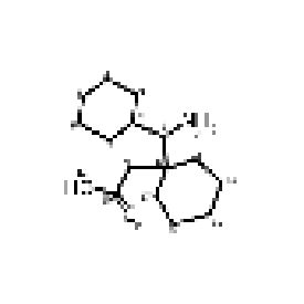 NC(C1CCCCC1)C1(CC(=O)O)CCCCC1